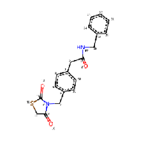 O=C(Cc1ccc(CN2C(=O)CSC2=O)cc1)NCc1ccccc1